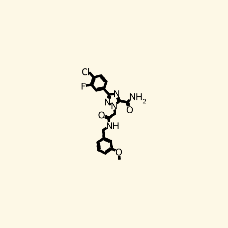 COc1cccc(CNC(=O)Cn2nc(-c3ccc(Cl)c(F)c3)nc2C(N)=O)c1